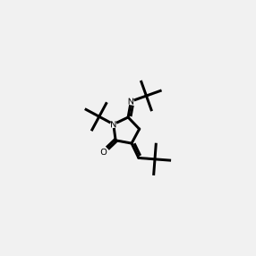 CC(C)(C)/C=C1\C/C(=N\C(C)(C)C)N(C(C)(C)C)C1=O